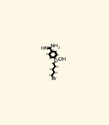 Cl.N=C(N)c1ccc(OCCCCCBr)cc1